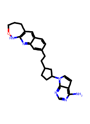 Nc1ncnc2c1ccn2C1CCC(CCc2ccc3cc4c(nc3c2)NOCCC4)C1